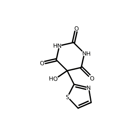 O=C1NC(=O)C(O)(c2nccs2)C(=O)N1